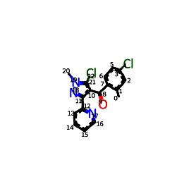 Cc1cc(Cl)ccc1C(=O)c1c(-c2ccccn2)nn(C)c1Cl